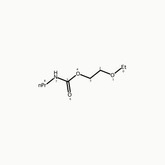 [CH2]COCCOC(=O)NCCC